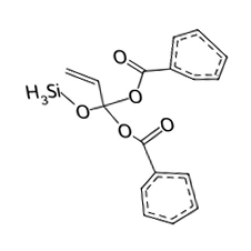 C=CC(O[SiH3])(OC(=O)c1ccccc1)OC(=O)c1ccccc1